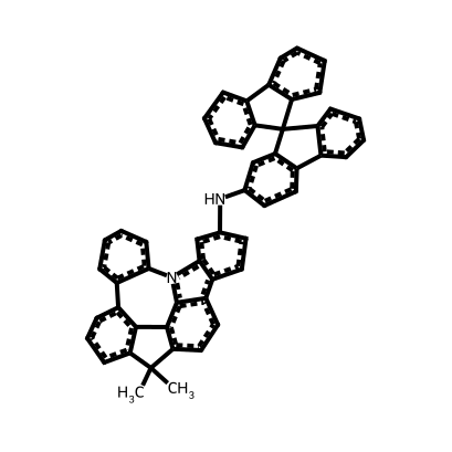 CC1(C)c2cccc3c2-c2c1ccc1c4ccc(Nc5ccc6c(c5)C5(c7ccccc7-c7ccccc75)c5ccccc5-6)cc4n(c21)-c1ccccc1-3